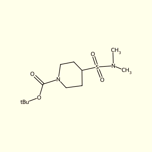 CN(C)S(=O)(=O)C1CCN(C(=O)OC(C)(C)C)CC1